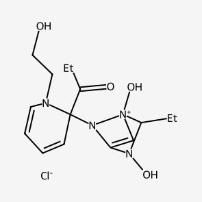 CCC(=O)C1(N2C3=C[N+]2(O)C(CC)N3O)C=CC=CN1CCO.[Cl-]